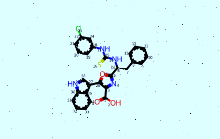 O=C(O)c1nc([C@H](Cc2ccccc2)NC(=S)Nc2cccc(Cl)c2)oc1-c1c[nH]c2ccccc12